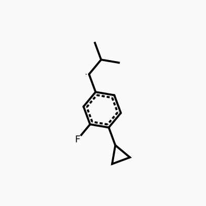 CC(C)[CH]c1ccc(C2CC2)c(F)c1